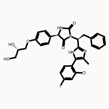 Cc1nc([C@H](Cc2ccccc2)N2C(=O)N[C@H](c3ccc(OC[C@@H](O)CO)cc3)C2=O)[nH]c1-c1ccc(I)cc1Cl